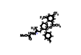 COC(=O)N/N=C(\N)CN1CCO[C@H](O[C@H](C)c2cc(C(F)(F)F)cc(C(F)(F)F)c2)[C@@H]1c1ccc(F)cc1